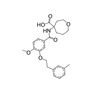 COc1ccc(C(=O)NC2(C(=O)O)CCCOCC2)cc1OCCc1cccc(C)c1